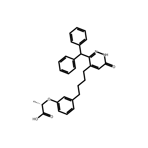 C[C@H](Oc1cccc(CCCCc2cc(=O)[nH]nc2C(c2ccccc2)c2ccccc2)c1)C(=O)O